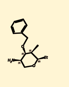 CC[C@H]1OC[C@@H](N)[C@@H](OCc2ccccc2)[C@H]1C